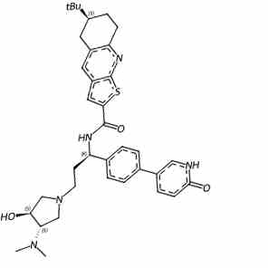 CN(C)[C@H]1CN(CC[C@@H](NC(=O)c2cc3cc4c(nc3s2)CC[C@H](C(C)(C)C)C4)c2ccc(-c3ccc(=O)[nH]c3)cc2)C[C@@H]1O